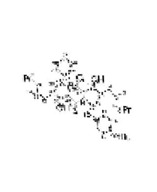 CC(C)CC(C)Cc1cc(Sc2ccc(C(C)(C)C)cc2)c2c(c1O)C(=O)c1c(-c3ccccc3)cc(CC(C)CC(C)C)c(O)c1C2=S